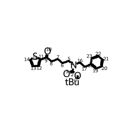 CC(C)(C)OC(=O)N(CCCCC(=O)c1cccs1)CCc1ccccc1